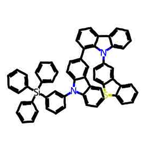 c1ccc([Si](c2ccccc2)(c2ccccc2)c2cccc(-n3c4ccccc4c4cc(-c5cccc6c7ccccc7n(-c7ccc8sc9ccccc9c8c7)c56)ccc43)c2)cc1